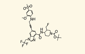 COc1cc(S(C)(=O)=O)ccc1NCC#Cc1cc(C(=O)NC2CCN(C(=O)OC(C)(C)C)CC2CF)c2ncn(CC(F)(F)F)c2c1